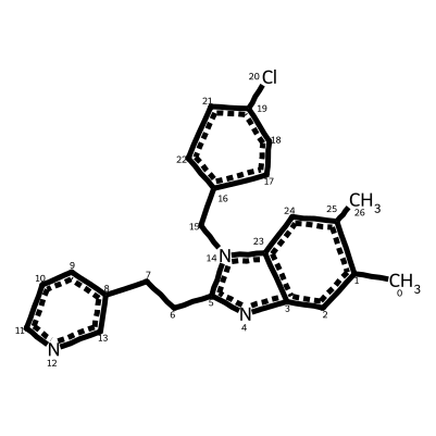 Cc1cc2nc(CCc3cccnc3)n(Cc3ccc(Cl)cc3)c2cc1C